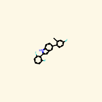 Cc1cc(F)ccc1-c1ccc2[nH]c(-c3c(F)cccc3F)cc2c1